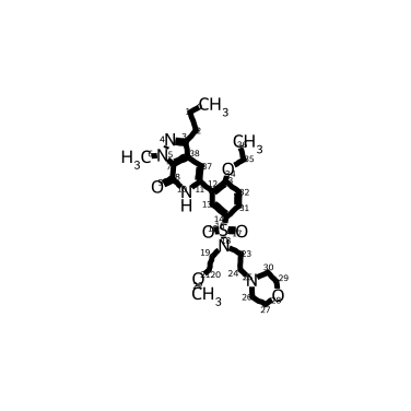 CCCc1nn(C)c2c(=O)[nH]c(-c3cc(S(=O)(=O)N(CCOC)CCN4CCOCC4)ccc3OCC)cc12